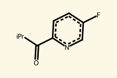 CC(C)C(=O)c1ccc(F)cn1